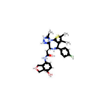 Cc1sc2c(c1C)C(c1ccc(Cl)cc1)=N[C@@H](CC(=O)Nc1ccc(O)c3c1COC3)c1nnc(C)n1-2